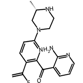 C=C(F)c1ccc(N2CCN[C@@H](C)C2)nc1C(=O)c1cccnc1N